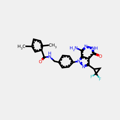 Cc1ccc(C)c(C(=O)NCc2ccc(-n3nc(C4CC4(F)F)c4c(=O)[nH]nc(N)c43)cc2)c1